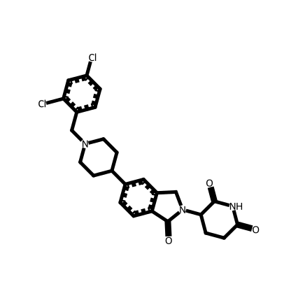 O=C1CCC(N2Cc3cc(C4CCN(Cc5ccc(Cl)cc5Cl)CC4)ccc3C2=O)C(=O)N1